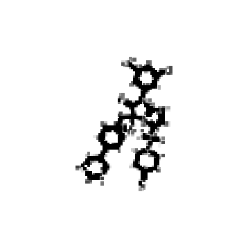 C[C@@]1(Cc2ccc(-c3cncnc3)cc2)C(=O)N(c2cc(Cl)cc(Cl)c2)c2ncc(S(=O)(=O)N3CCC(=O)CC3)n21